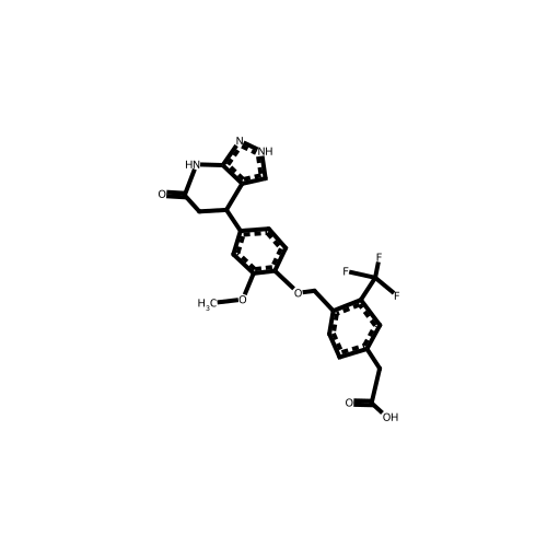 COc1cc(C2CC(=O)Nc3n[nH]cc32)ccc1OCc1ccc(CC(=O)O)cc1C(F)(F)F